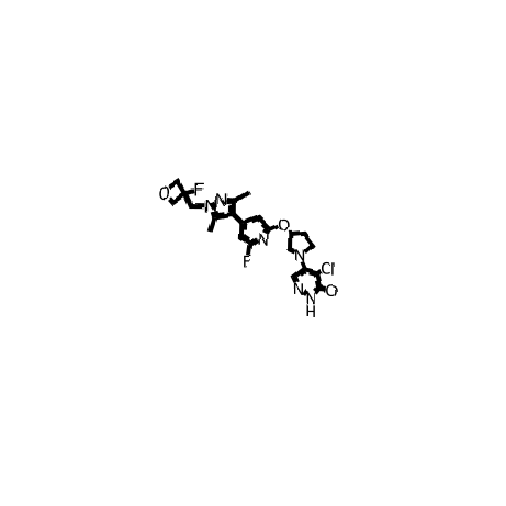 Cc1nn(CC2(F)COC2)c(C)c1-c1cc(F)nc(O[C@@H]2CCN(c3cn[nH]c(=O)c3Cl)C2)c1